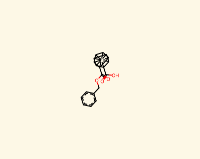 O=C(O)[C]12[CH]3[CH]4[CH]5[CH]1[Fe]45321678[CH]2[CH]1[CH]6[C]7(C(=O)OCc1ccccc1)[CH]28